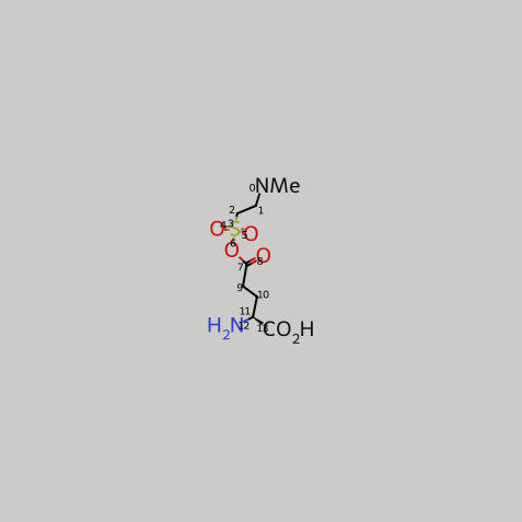 CNCCS(=O)(=O)OC(=O)CC[C@H](N)C(=O)O